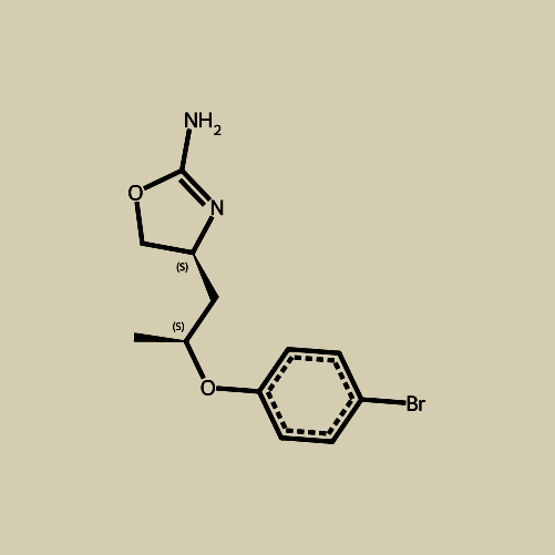 C[C@@H](C[C@H]1COC(N)=N1)Oc1ccc(Br)cc1